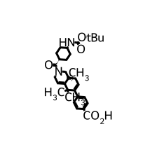 CC(C)(C)OC(=O)N[C@H]1CC[C@H](C(=O)N2CC=C3C(C)(C)C(c4ccc(C(=O)O)cc4)=CC[C@]3(C)C2)CC1